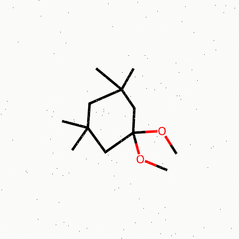 COC1(OC)CC(C)(C)CC(C)(C)C1